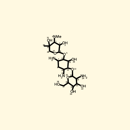 CNC1C(O)C(OC2C(N)CC(N)C(OC3OC(CO)C(O)C(O)C3N)C2O)OCC1(C)O